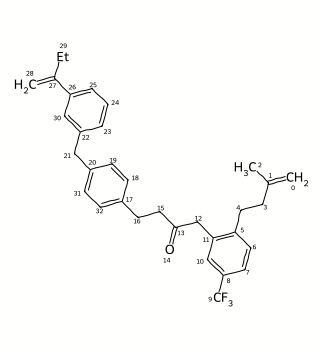 C=C(C)CCc1ccc(C(F)(F)F)cc1CC(=O)CCc1ccc(Cc2cccc(C(=C)CC)c2)cc1